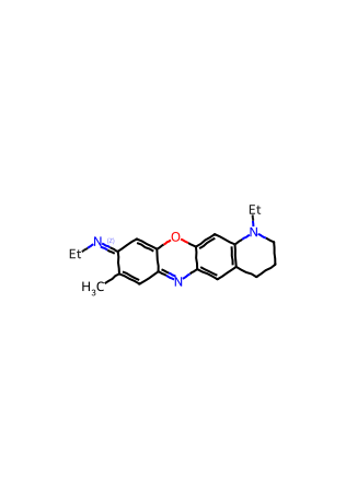 CC/N=c1/cc2oc3cc4c(cc3nc-2cc1C)CCCN4CC